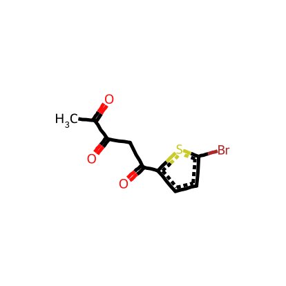 CC(=O)C(=O)CC(=O)c1ccc(Br)s1